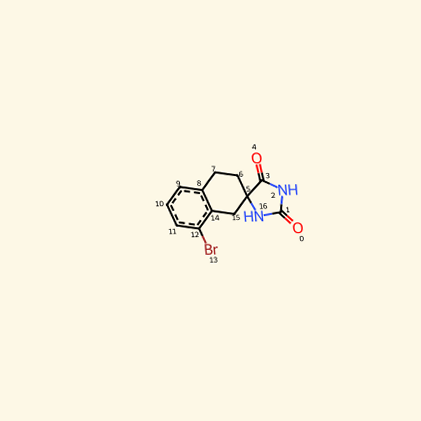 O=C1NC(=O)C2(CCc3cccc(Br)c3C2)N1